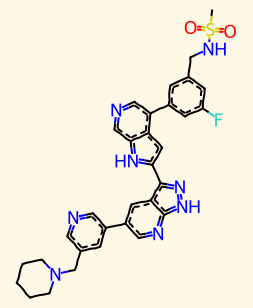 CS(=O)(=O)NCc1cc(F)cc(-c2cncc3[nH]c(-c4n[nH]c5ncc(-c6cncc(CN7CCCCC7)c6)cc45)cc23)c1